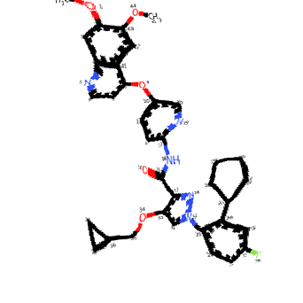 COc1cc2nccc(Oc3ccc(NC(=O)c4nn(-c5ccc(F)cc5C5CCCC5)cc4OCC4CC4)nc3)c2cc1OC